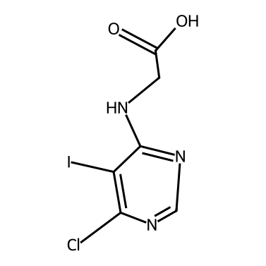 O=C(O)CNc1ncnc(Cl)c1I